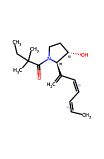 C=C(/C=C\C=C/C)[C@@H]1[C@@H](O)CCN1C(=O)C(C)(C)CC